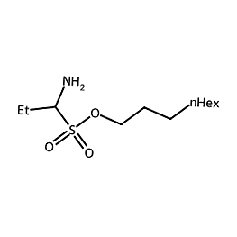 CCCCCCCCCOS(=O)(=O)C(N)CC